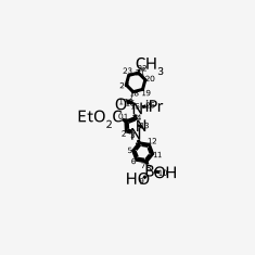 CCOC(=O)c1cn(-c2ccc(B(O)O)cc2)nc1N(C(=O)[C@H]1CC[C@H](C)CC1)C(C)C